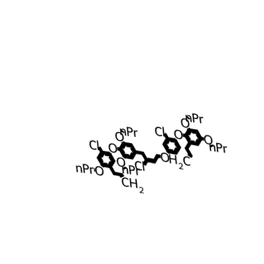 C=CCc1cc(Oc2c(OCCC)cc(C/C(Cl)=C\COc3ccc(Oc4c(CC=C)cc(OCCC)cc4OCCC)c(Cl)c3)cc2OCCC)c(Cl)cc1OCCC